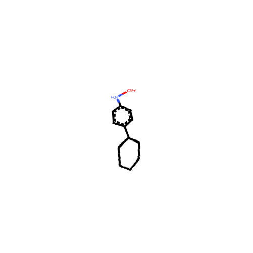 ONc1ccc(C2CCCCC2)cc1